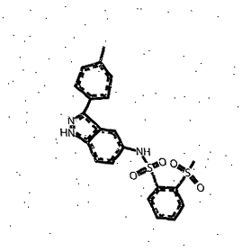 Cc1ccc(-c2n[nH]c3ccc(NS(=O)(=O)c4ccccc4S(C)(=O)=O)cc23)cc1